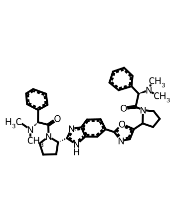 CN(C)[C@@H](C(=O)N1CCCC1c1cnc(-c2ccc3nc([C@@H]4CCCN4C(=O)[C@@H](c4ccccc4)N(C)C)[nH]c3c2)o1)c1ccccc1